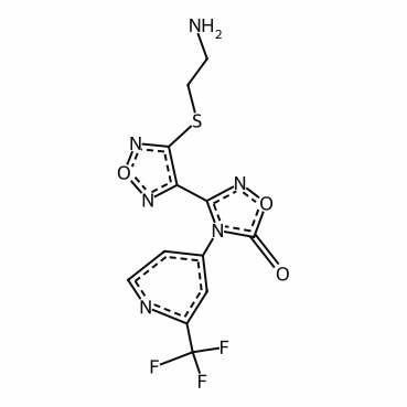 NCCSc1nonc1-c1noc(=O)n1-c1ccnc(C(F)(F)F)c1